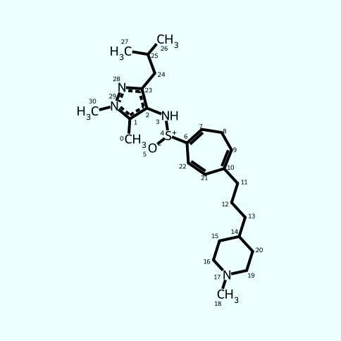 Cc1c(N[S+]([O-])C2=CCC=C(CCCC3CCN(C)CC3)C=C2)c(CC(C)C)nn1C